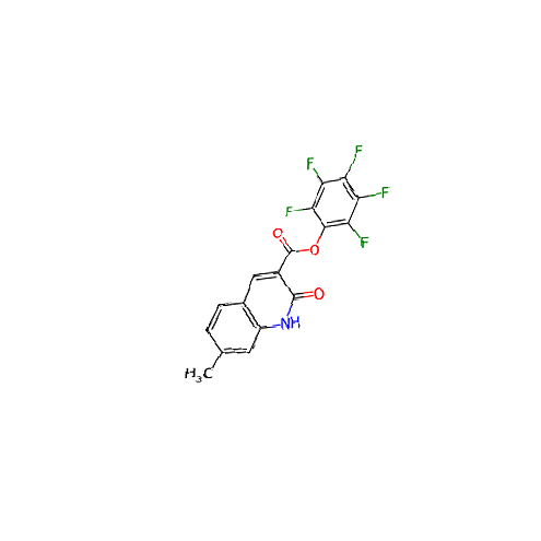 Cc1ccc2cc(C(=O)Oc3c(F)c(F)c(F)c(F)c3F)c(=O)[nH]c2c1